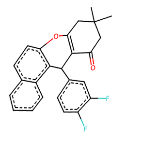 CC1(C)CC(=O)C2=C(C1)Oc1ccc3ccccc3c1C2c1ccc(F)c(F)c1